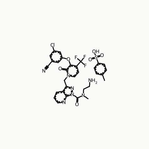 CN(CCN)C(=O)n1nc(Cn2ccc(C(F)(F)F)c(Oc3cc(Cl)cc(C#N)c3)c2=O)c2cccnc21.Cc1ccc(S(=O)(=O)O)cc1